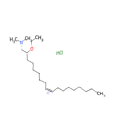 CCCCCCCC/C=C\CCCCCCC(CN(C)C)OCC.Cl